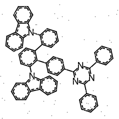 c1ccc(-c2nc(-c3ccccc3)nc(-c3ccc(-c4c(-c5ccccc5-n5c6ccccc6c6ccccc65)cccc4-n4c5ccccc5c5ccccc54)cc3)n2)cc1